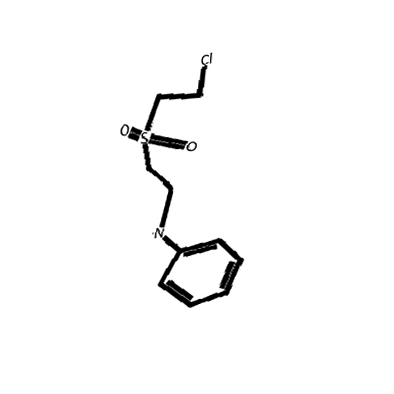 O=S(=O)(CCCl)CC[N]c1ccccc1